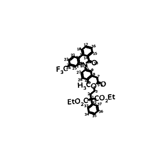 CCOC(=O)C(CCOC(=O)Cc1cc(NC(=O)c2ccccc2-c2ccc(C(F)(F)F)cc2)ccc1C)(C(=O)OCC)c1ccccc1